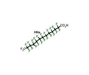 O=C(O)C(F)(F)C(F)(F)C(F)(F)C(F)(F)C(F)(F)C(F)(F)C(F)(F)C(F)(F)C(F)(F)C(F)(F)C(F)(F)C(F)(F)F.[NaH]